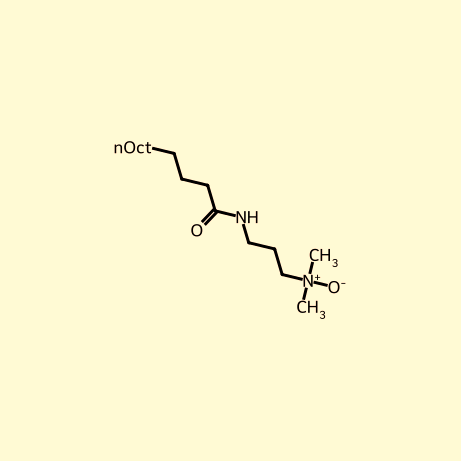 CCCCCCCCCCCC(=O)NCCC[N+](C)(C)[O-]